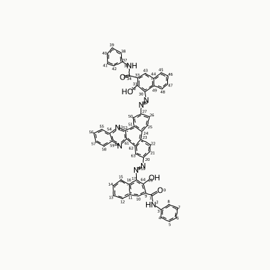 O=C(Nc1ccccc1)c1cc2ccccc2c(N=Nc2ccc3c4ccc(N=Nc5c(O)c(C(=O)Nc6ccccc6)cc6ccccc56)cc4c4nc5ccccc5nc4c3c2)c1O